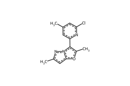 Cc1cc(Cl)nc(-c2c(C)oc3cc(C)nn23)c1